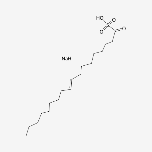 CCCCCCCCC=CCCCCCCCC(=O)S(=O)(=O)O.[NaH]